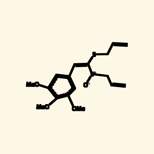 C=CCSC(=Cc1cc(OC)c(OC)c(OC)c1)[S+]([O-])CC=C